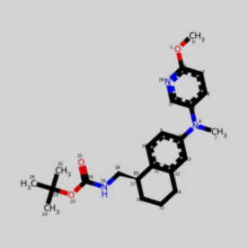 COc1ccc(N(C)c2ccc3c(c2)CCC[C@H]3CNC(=O)OC(C)(C)C)cn1